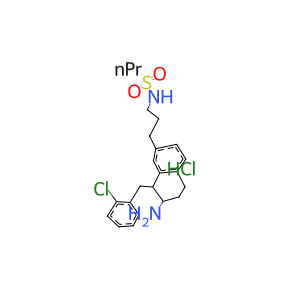 CCCS(=O)(=O)NCCCc1ccc2c(c1)C(Cc1ccccc1Cl)C(N)CC2.Cl